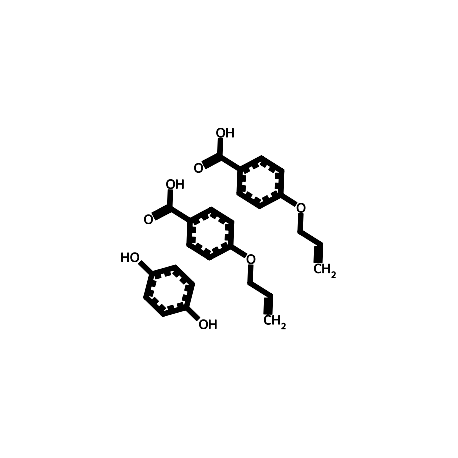 C=CCOc1ccc(C(=O)O)cc1.C=CCOc1ccc(C(=O)O)cc1.Oc1ccc(O)cc1